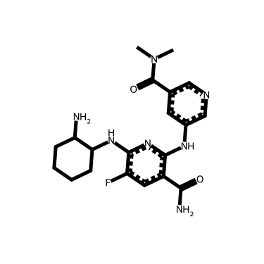 CN(C)C(=O)c1cncc(Nc2nc(NC3CCCCC3N)c(F)cc2C(N)=O)c1